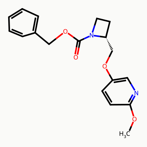 COc1ccc(OC[C@H]2CCN2C(=O)OCc2ccccc2)cn1